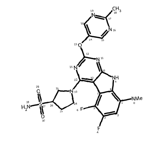 CNc1cc(F)c(F)c2c1[nH]c1nc(Oc3cnc(C)nc3)nc(N3CCC(S(N)(=O)=O)C3)c12